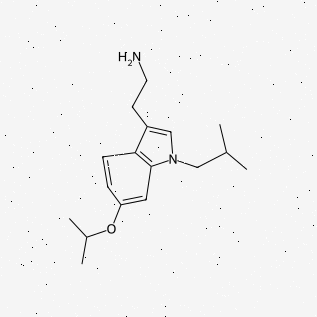 CC(C)Cn1cc(CCN)c2ccc(OC(C)C)cc21